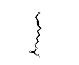 NC(=O)OOCCCCCC#CCBr